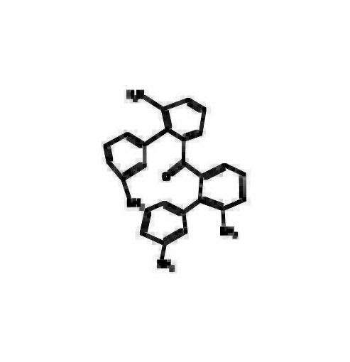 Nc1cccc(-c2c(N)cccc2C(=O)c2cccc(N)c2-c2cccc(N)c2)c1